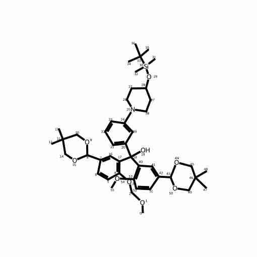 COCOc1ccc(C2OCC(C)(C)CO2)cc1C(O)(c1cccc(N2CCC(O[Si](C)(C)C(C)(C)C)CC2)c1)c1cc(C2OCC(C)(C)CO2)ccc1OC